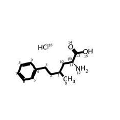 CC(CCc1ccccc1)C[C@@H](N)C(=O)O.Cl